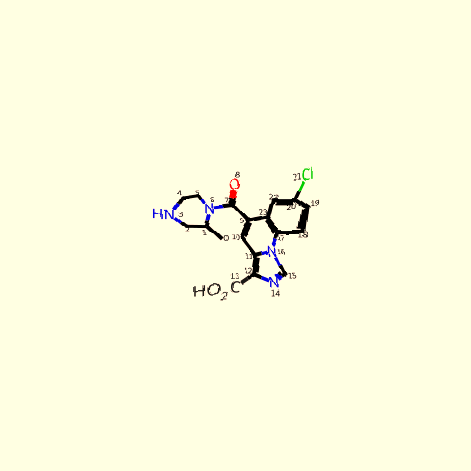 CC1CNCCN1C(=O)c1cc2c(C(=O)O)ncn2c2ccc(Cl)cc12